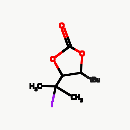 CC(C)(C)C1OC(=O)OC1C(C)(C)I